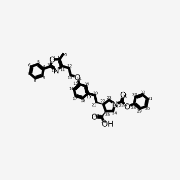 Cc1oc(-c2ccccc2)nc1CCOc1cccc(CC[C@H]2CN(C(=O)Oc3ccccc3)C[C@H]2C(=O)O)c1